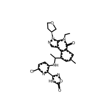 CCn1c(=O)c2cc(C)cc(C(C)Nc3ccc(Cl)nc3-c3noc(=O)[nH]3)c2c2cnn([C@H]3CCOC3)c21